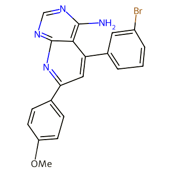 COc1ccc(-c2cc(-c3cccc(Br)c3)c3c(N)ncnc3n2)cc1